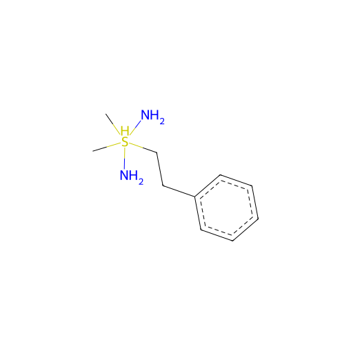 C[SH](C)(N)(N)CCc1ccccc1